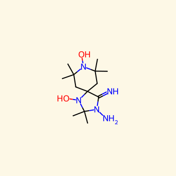 CC1(C)CC2(CC(C)(C)N1O)C(=N)N(N)C(C)(C)N2O